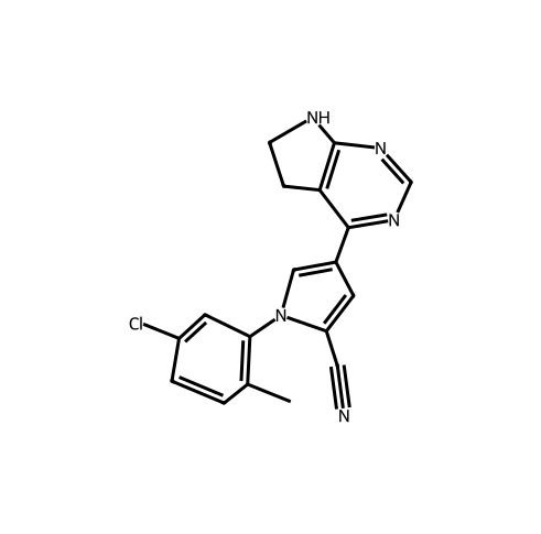 Cc1ccc(Cl)cc1-n1cc(-c2ncnc3c2CCN3)cc1C#N